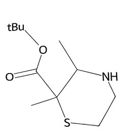 CC1NCCSC1(C)C(=O)OC(C)(C)C